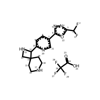 FC(F)c1nnc(-c2ccc(C3NCC34CCNCC4)nc2)o1.O=C(O)C(F)(F)F